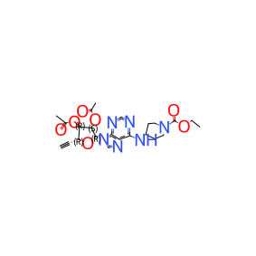 C#C[C@H]1O[C@@H](n2cnc3c(NC4CCN(C(=O)OCC)CC4)ncnc32)[C@@H](OC(C)=O)[C@@H]1OC(C)=O